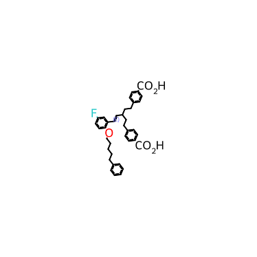 O=C(O)c1ccc(CCC(/C=C/c2cc(F)ccc2OCCCCCc2ccccc2)CCc2ccc(C(=O)O)cc2)cc1